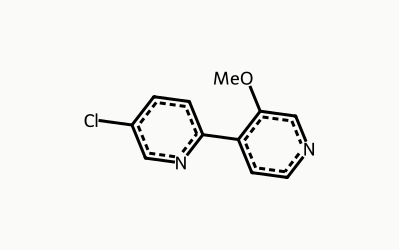 COc1cnccc1-c1ccc(Cl)cn1